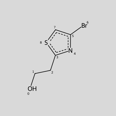 OCCc1nc(Br)cs1